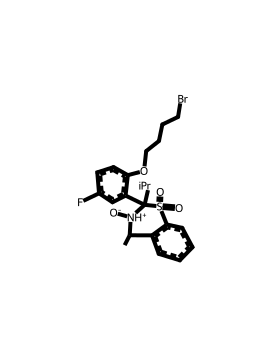 CC1c2ccccc2S(=O)(=O)C(c2cc(F)ccc2OCCCCBr)(C(C)C)[NH+]1[O-]